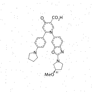 CO[C@@H]1CCN(c2nc3ccc(-n4cc(C(=O)O)c(=O)cc4-c4ccc(N5CCCC5)cc4)cc3o2)C1